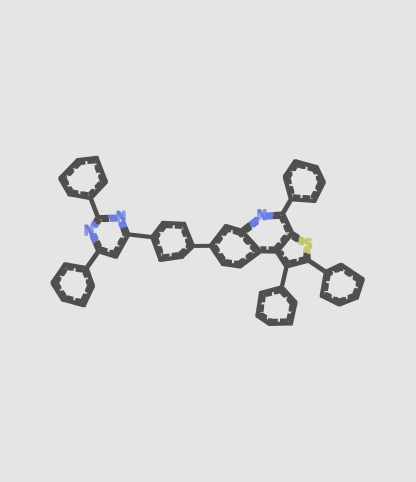 c1ccc(-c2cc(-c3ccc(-c4ccc5c(c4)nc(-c4ccccc4)c4sc(-c6ccccc6)c(-c6ccccc6)c45)cc3)nc(-c3ccccc3)n2)cc1